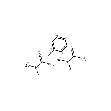 CN(C(N)=O)C(C)(C)C.CN(C(N)=O)C(C)(C)C.Cc1ccccc1